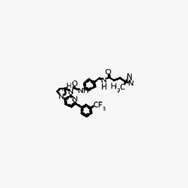 CC1(CCC(=O)NCc2ccc(NC(=O)N3c4nc(-c5cccc(C(F)(F)F)c5)ccc4N4CC[C@H]3C4)cc2)N=N1